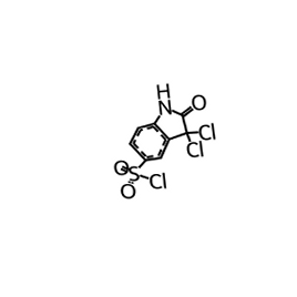 O=C1Nc2ccc(S(=O)(=O)Cl)cc2C1(Cl)Cl